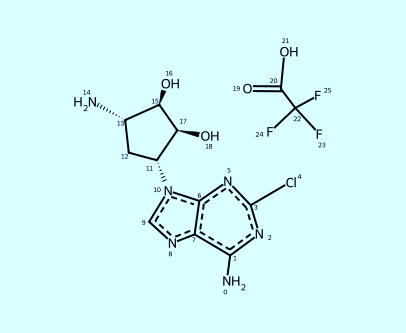 Nc1nc(Cl)nc2c1ncn2[C@@H]1C[C@H](N)[C@@H](O)[C@H]1O.O=C(O)C(F)(F)F